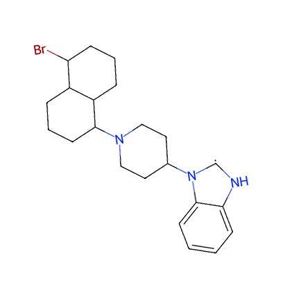 BrC1CCCC2C1CCCC2N1CCC(N2[CH]Nc3ccccc32)CC1